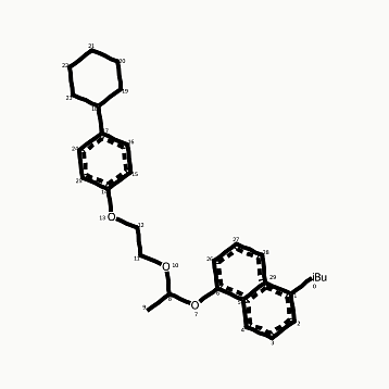 CCC(C)c1cccc2c(OC(C)OCCOc3ccc(C4CCCCC4)cc3)cccc12